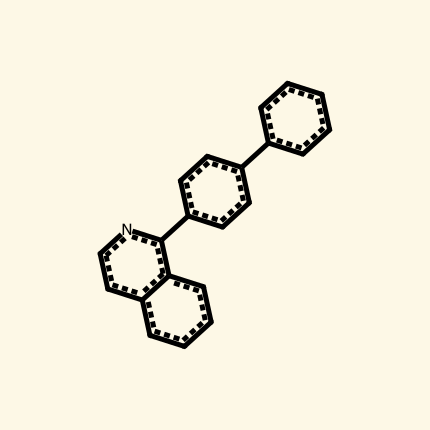 c1ccc(-c2ccc(-c3nccc4ccccc34)cc2)cc1